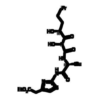 CCOC(=O)Cc1csc(NC(=O)[C@@H](NC(=O)N(O)C(=O)[C@@H](O)CCC(C)C)C(C)(C)C)n1